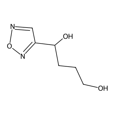 OCCCC(O)c1cnon1